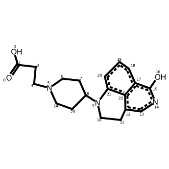 O=C(O)CCN1CCC(N2CCc3cnc(O)c4cccc2c34)CC1